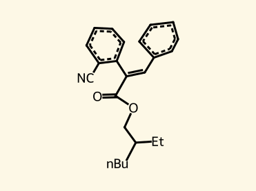 CCCCC(CC)COC(=O)/C(=C/c1ccccc1)c1ccccc1C#N